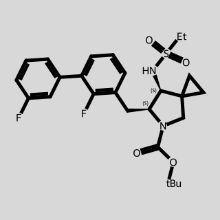 CCS(=O)(=O)N[C@@H]1[C@H](Cc2cccc(-c3cccc(F)c3)c2F)N(C(=O)OC(C)(C)C)CC12CC2